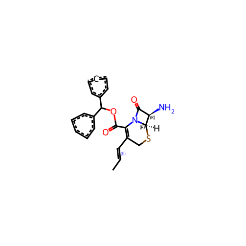 C/C=C/C1=C(C(=O)OC(c2ccccc2)c2ccccc2)N2C(=O)[C@@H](N)[C@H]2SC1